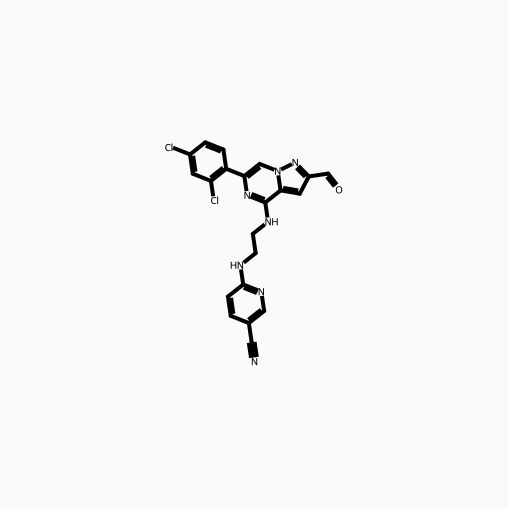 N#Cc1ccc(NCCNc2nc(-c3ccc(Cl)cc3Cl)cn3nc(C=O)cc23)nc1